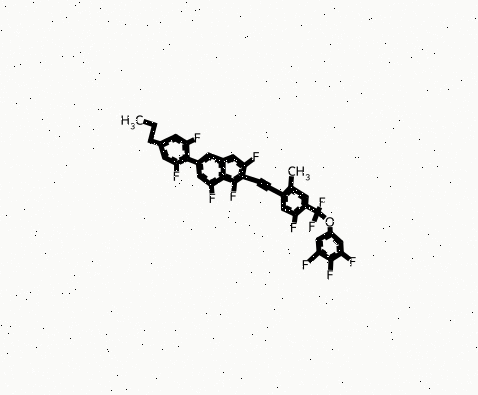 CCCc1cc(F)c(-c2cc(F)c3c(F)c(C#Cc4cc(F)c(C(F)(F)Oc5cc(F)c(F)c(F)c5)cc4C)c(F)cc3c2)c(F)c1